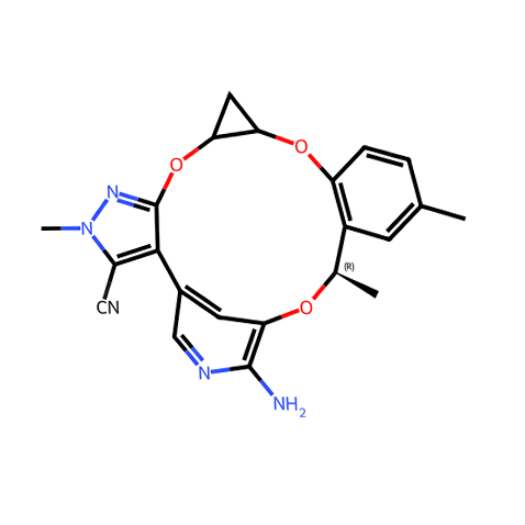 Cc1ccc2c(c1)[C@@H](C)Oc1cc(cnc1N)-c1c(nn(C)c1C#N)OC1CC1O2